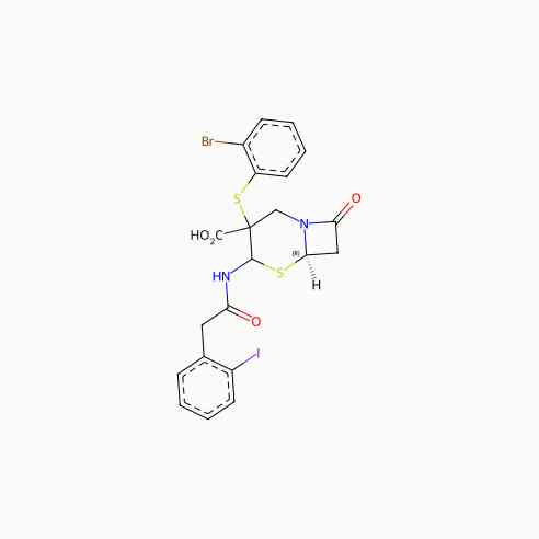 O=C(Cc1ccccc1I)NC1S[C@@H]2CC(=O)N2CC1(Sc1ccccc1Br)C(=O)O